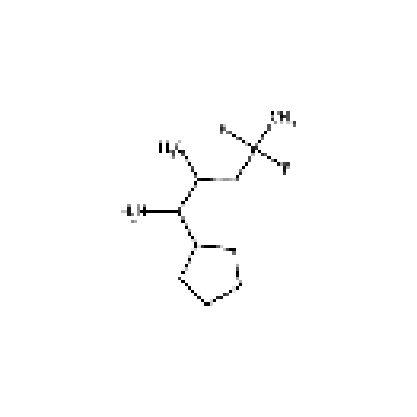 CC(CC(C)(F)F)C(N)C1CCCC1